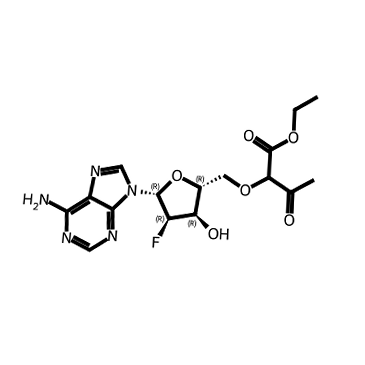 CCOC(=O)C(OC[C@H]1O[C@@H](n2cnc3c(N)ncnc32)[C@H](F)[C@@H]1O)C(C)=O